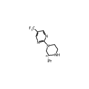 CC(C)[C@@H]1CN(c2ncc(C(F)(F)F)cn2)CCN1